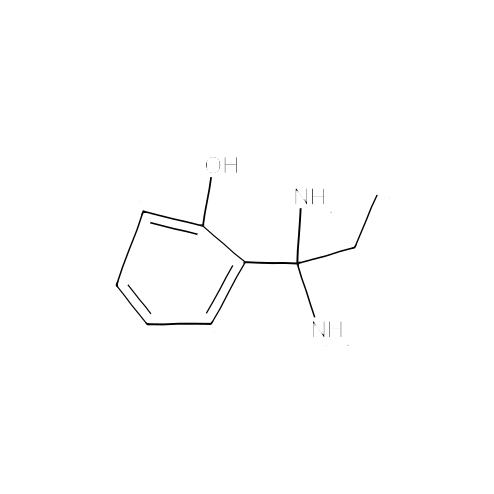 CCC(N)(N)c1ccccc1O